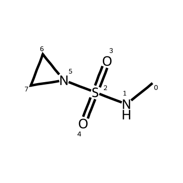 CNS(=O)(=O)N1CC1